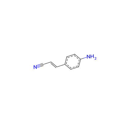 N#CC=Cc1ccc(N)cc1